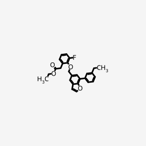 CCOC(=O)Cc1cccc(F)c1OCc1cc(-c2cccc(CC)c2)c2occc2c1